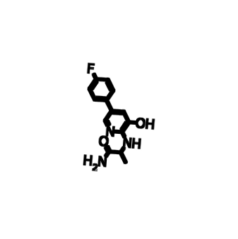 CC(Nc1ncc(-c2ccc(F)cc2)cc1O)C(N)=O